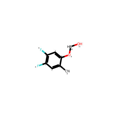 N#Cc1cc(F)c(F)cc1OBO